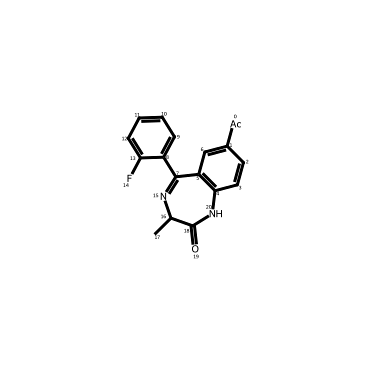 CC(=O)c1ccc2c(c1)C(c1ccccc1F)=NC(C)C(=O)N2